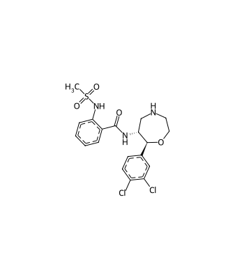 CS(=O)(=O)Nc1ccccc1C(=O)N[C@@H]1CNCCO[C@H]1c1ccc(Cl)c(Cl)c1